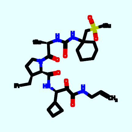 C=CCNC(=O)C(=O)[C@@H](NC(=O)[C@@H]1[C@@H](CC(C)C)CCN1C(=O)[C@@H](NC(=O)NC1(CS(=O)(=O)C(C)(C)C)CCCCC1)C(C)(C)C)C1CCC1